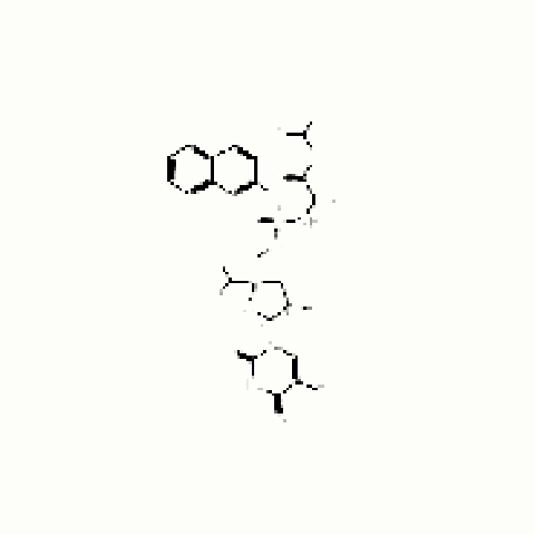 CC(C)OC(=O)[C@H](C)N[P@](=O)(OC[C@@]1(C(F)F)O[C@@H](n2cc(F)c(=O)[nH]c2=O)[C@H](F)[C@H]1O)Oc1ccc2ccccc2c1